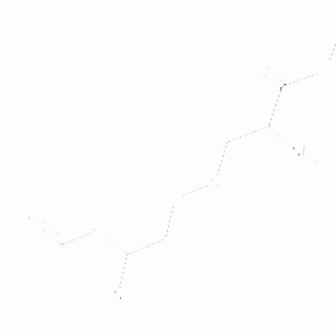 COC(=O)C(N)CSSCC(N)OC=O